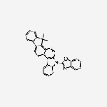 CC1(C)c2ccccc2-c2ccc3c(ccc4c3c3ccccc3n4-c3nc4ccccc4o3)c21